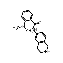 CN(C)c1ccccc1C(=O)Nc1ccc2c(c1)CCNC2